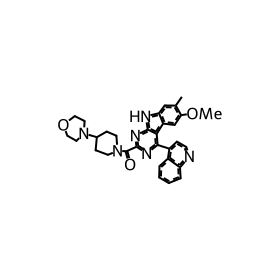 COc1cc2c(cc1C)[nH]c1nc(C(=O)N3CCC(N4CCOCC4)CC3)nc(-c3ccnc4ccccc34)c12